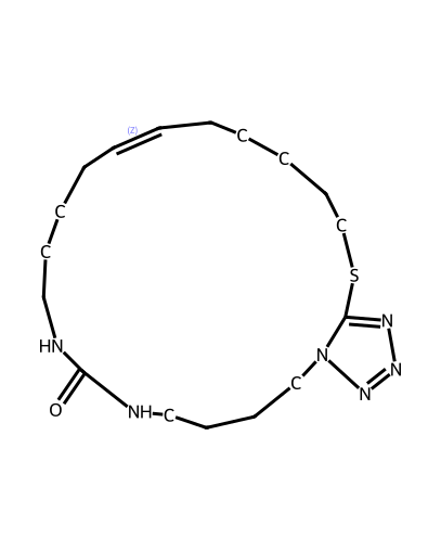 O=C1NCCCC/C=C\CCCCCSc2nnnn2CCCCN1